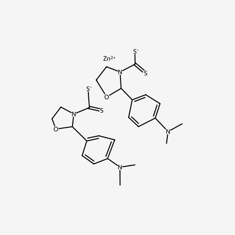 CN(C)c1ccc(C2OCCN2C(=S)[S-])cc1.CN(C)c1ccc(C2OCCN2C(=S)[S-])cc1.[Zn+2]